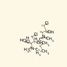 CCC.CN(C)CC(O)CCl.CN(C)CC(O)CCl.Cl.Cl